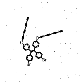 C#CC#CC#CC#COc1ccc(/C(=C(/c2ccc(Br)cc2)c2ccc(OC#CC#CC#CC#C)cc2)c2ccc(Br)cc2)cc1